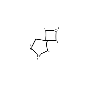 C1OCC12C[Te][Te]C2